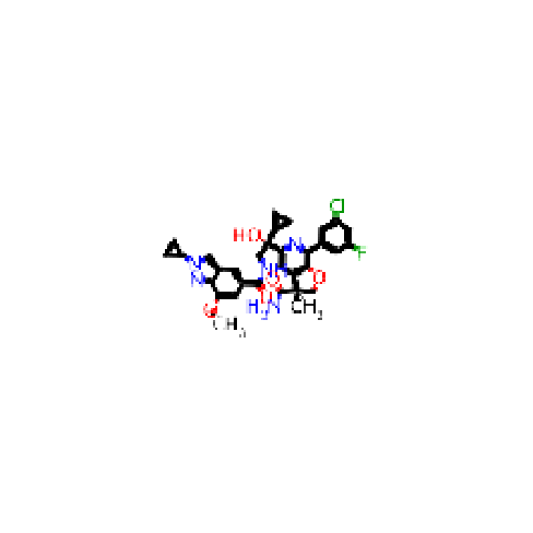 COc1cc(C(=O)NC[C@](O)(c2cc3c(c(-c4cc(F)cc(Cl)c4)n2)OC[C@]3(C)C(N)=O)C2CC2)cc2cn(C3CC3)nc12